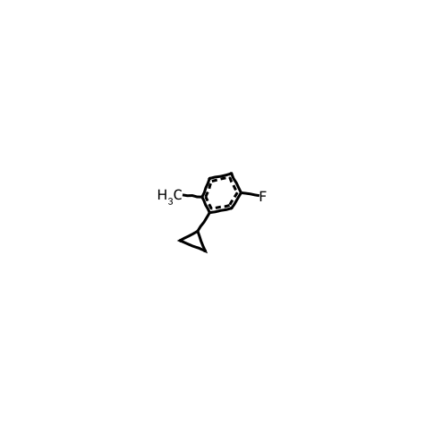 Cc1ccc(F)cc1C1CC1